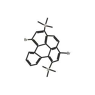 C[Si](C)(C)c1cc(Br)c2c3ccccc3c3c([Si](C)(C)C)cc(Br)c4ccc1c2c43